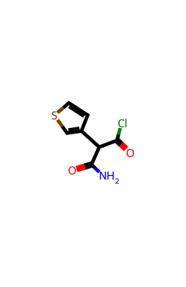 NC(=O)C(C(=O)Cl)c1ccsc1